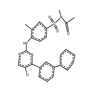 CC(=O)N(C)S(=O)(=O)c1ccc(Nc2ncc(Cl)c(-c3cccc(-c4ccccc4)c3)n2)c(C)c1